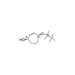 CC(C)(C)[Si](C)(C)O[C@@H]1C=C[C@H](O)CCC1